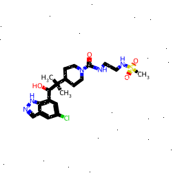 CC(C)(C1CCN(C(=O)NCCNS(C)(=O)=O)CC1)C(O)c1cc(Cl)cc2cn[nH]c12